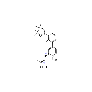 C/C(C=O)=C\N=c1\cc(-c2cccc(B3OC(C)(C)C(C)(C)O3)c2C)ccn1C=O